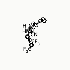 CC(N/N=C(/C#N)C(=N)c1cccc(OCc2cc(C(F)(F)F)ccc2C(F)(F)F)c1)OC(=O)OCCOC1CCCCO1